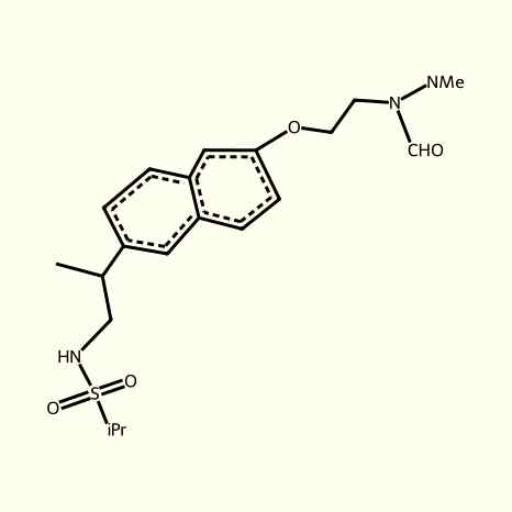 CNN(C=O)CCOc1ccc2cc(C(C)CNS(=O)(=O)C(C)C)ccc2c1